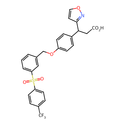 O=C(O)CC(c1ccc(OCc2cccc(S(=O)(=O)c3ccc(C(F)(F)F)cc3)c2)cc1)c1ccon1